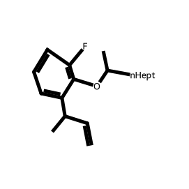 C=CC(C)c1cccc(F)c1OC(C)CCCCCCC